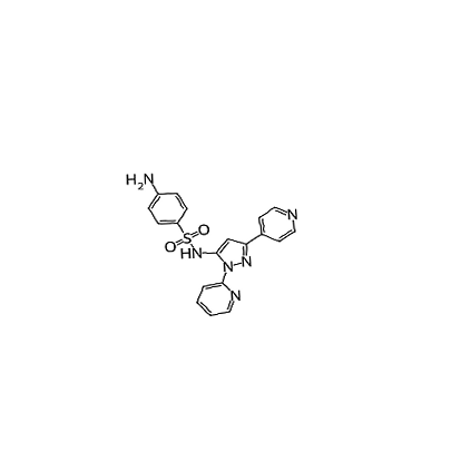 Nc1ccc(S(=O)(=O)Nc2cc(-c3ccncc3)nn2-c2ccccn2)cc1